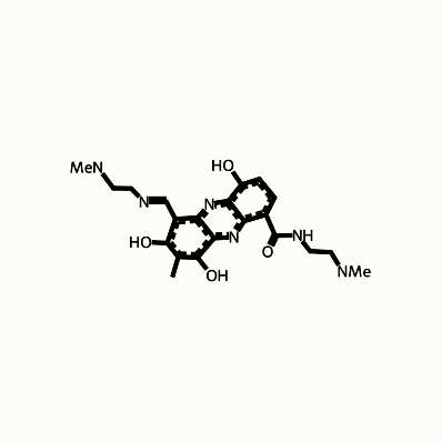 CNCC/N=C/c1c(O)c(C)c(O)c2nc3c(C(=O)NCCNC)ccc(O)c3nc12